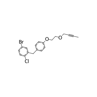 CC#CCOCCOc1ccc(Cc2cc(Br)ccc2Cl)cc1